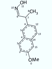 COc1ccc2cc(C(C)/C=N\O)ccc2c1